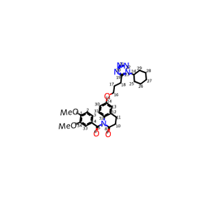 COc1ccc(C(=O)N2C(=O)CCc3cc(OCCCc4nnnn4C4CCCCC4)ccc32)cc1OC